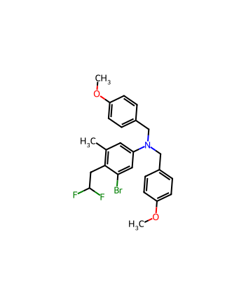 COc1ccc(CN(Cc2ccc(OC)cc2)c2cc(C)c(CC(F)F)c(Br)c2)cc1